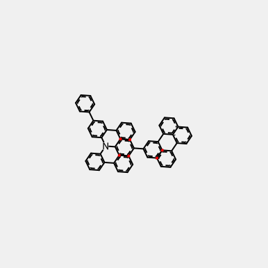 c1ccc(-c2ccc(N(c3ccc(-c4cccc(-c5cccc6cccc(-c7ccccc7)c56)c4)cc3)c3ccccc3-c3ccccc3)c(-c3ccccc3)c2)cc1